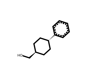 OC[C@H]1CC[C@H](c2ccccc2)CC1